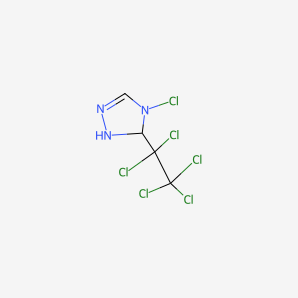 ClN1C=NNC1C(Cl)(Cl)C(Cl)(Cl)Cl